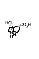 Cl.O=C(O)N1CC[C@@H]2NCC[C@@H]2C1